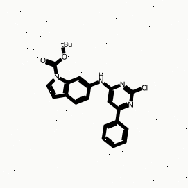 CC(C)(C)OC(=O)n1ccc2ccc(Nc3cc(-c4ccccc4)nc(Cl)n3)cc21